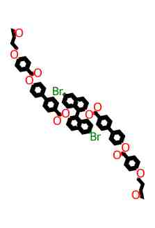 O=C(Oc1ccc(-c2ccc(C(=O)Oc3ccc4cc(Br)ccc4c3-c3c(OC(=O)c4ccc(-c5ccc(OC(=O)c6ccc(OCCC7CO7)cc6)cc5)cc4)ccc4cc(Br)ccc34)cc2)cc1)c1ccc(OCCC2CO2)cc1